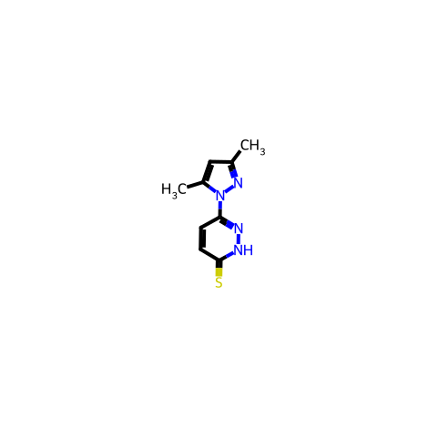 Cc1cc(C)n(-c2ccc(=S)[nH]n2)n1